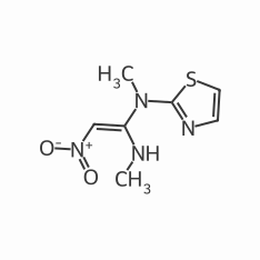 CNC(=C[N+](=O)[O-])N(C)c1nccs1